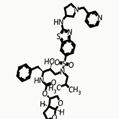 CC(C)CN(C[C@@H](O)[C@H](Cc1ccccc1)NC(=O)O[C@H]1CO[C@H]2OCC[C@H]21)S(=O)(=O)c1ccc2nc(NC3CCN(Cc4cccnc4)C3)sc2c1